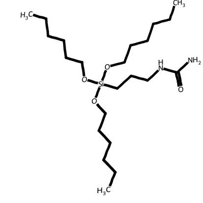 CCCCCCO[Si](CCCNC(N)=O)(OCCCCCC)OCCCCCC